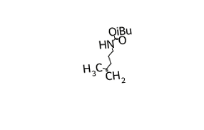 C=C(C)CCCNC(=O)OCC(C)C